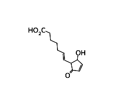 O=C(O)CCCCC=CC1C(=O)C=CC1O